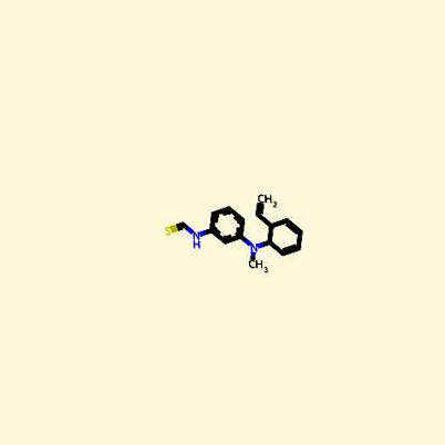 C=CC1C=CC=CC1N(C)c1cccc(NC=S)c1